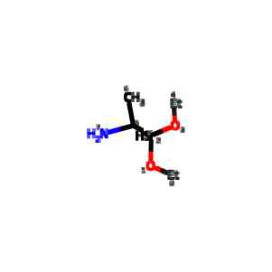 CCO[SiH](OCC)C(C)N